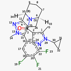 Cc1c(C(=O)N2[C@H]3CCC[C@@H]2c2nn(C)c(-c4cc(F)c(F)c(F)c4)c2C3)cnn1C1CC1